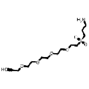 C#CCOCCOCCOCCOCCS(=O)(=O)CCCN